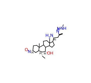 C=C(C[C@@H](N)C1CCC2C3C(CCC21C)C1(C)CC[C@@H](N=O)CC1[C@@H](CC)[C@H]3O)/N=N\NC